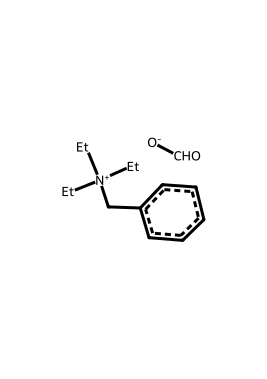 CC[N+](CC)(CC)Cc1ccccc1.O=C[O-]